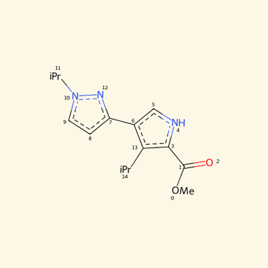 COC(=O)c1[nH]cc(-c2ccn(C(C)C)n2)c1C(C)C